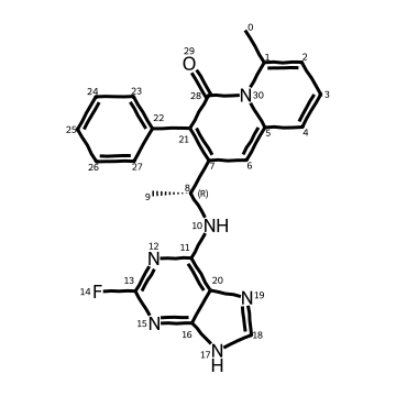 Cc1cccc2cc([C@@H](C)Nc3nc(F)nc4[nH]cnc34)c(-c3ccccc3)c(=O)n12